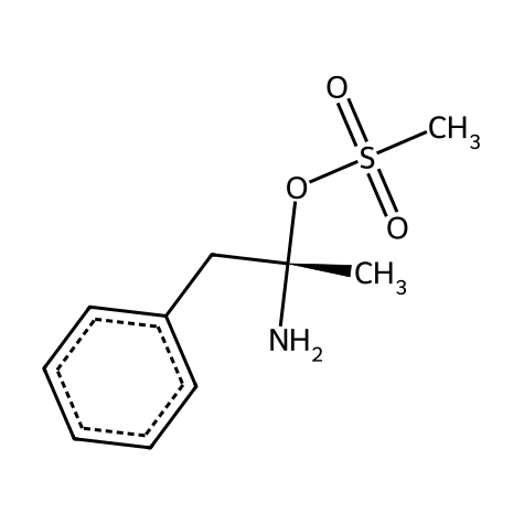 C[C@@](N)(Cc1ccccc1)OS(C)(=O)=O